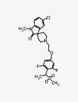 CC(c1c(F)cc(OCCN2CCC3(CC2)C(=O)N(C)c2ccc(Cl)cc23)cc1F)S(C)(=O)=O